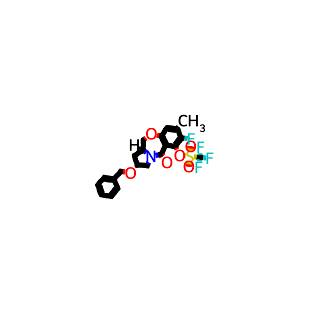 Cc1cc2c(c(OS(=O)(=O)C(F)(F)F)c1F)C(=O)N1C[C@@H](OCc3ccccc3)C[C@@H]1CO2